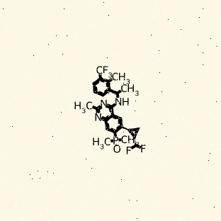 Cc1nc(NC(C)c2cccc(C(F)(F)F)c2C)c2cc([C@H]3C[C@@H]3C(F)F)c(P(C)(C)=O)cc2n1